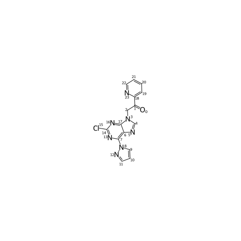 O=C(Cn1cnc2c(-n3cccn3)nc(Cl)nc21)c1ccccn1